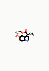 CCOC(=O)CC.Oc1ccc2ncccc2c1